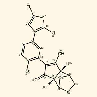 CCc1ccc(-c2cc(Cl)sc2Cl)cc1C1=C(O)[C@@H]2C3CCC(O3)[C@@H]2C1=O